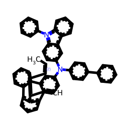 C#CC1=C(/C=C\C)c2cccc3c2-c2cc(N(c4ccc(-c5ccccc5)cc4)c4ccc5c(c4)c4ccccc4n5-c4ccccc4)ccc2-c2cccc-3c21